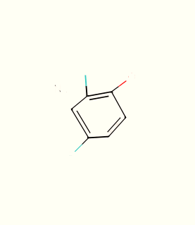 [Na+].[O-]c1ccc(F)cc1F